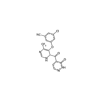 N#Cc1cc(Cl)cc(OC2=C(C(F)(F)F)N=CNC2C(=O)c2ccn[nH]c2=O)c1